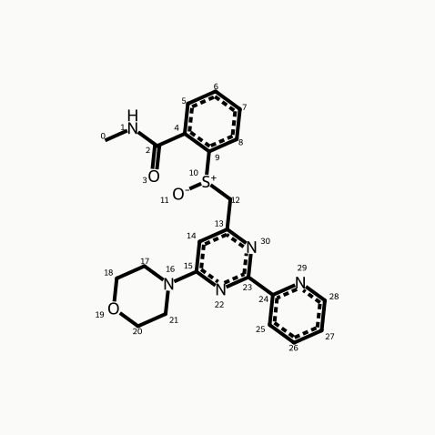 CNC(=O)c1ccccc1[S+]([O-])Cc1cc(N2CCOCC2)nc(-c2ccccn2)n1